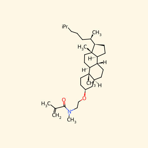 C=C(C)C(=O)N(C)CCO[C@H]1CC[C@@]2(C)[C@@H](CC[C@@H]3[C@@H]2CC[C@]2(C)[C@@H]([C@H](C)CCCC(C)C)CC[C@@H]32)C1